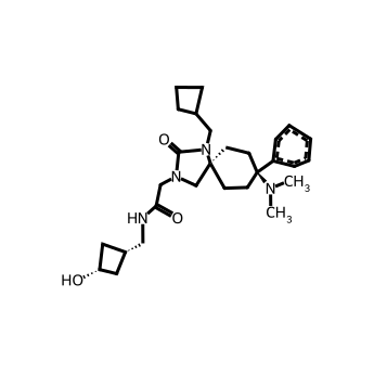 CN(C)[C@]1(c2ccccc2)CC[C@]2(CC1)CN(CC(=O)NC[C@H]1C[C@@H](O)C1)C(=O)N2CC1CCC1